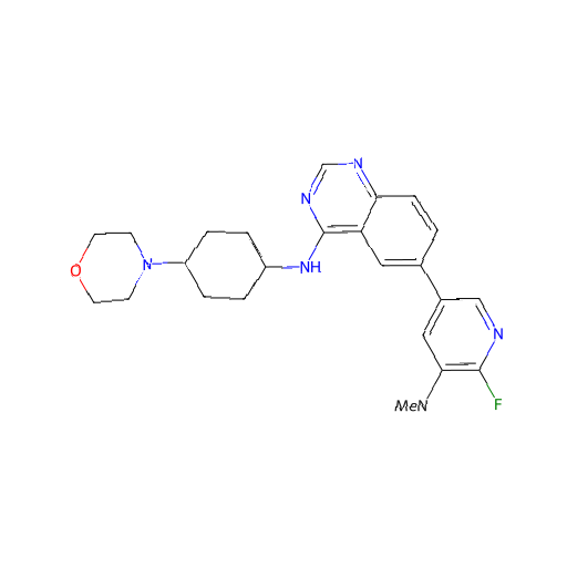 CNc1cc(-c2ccc3ncnc(NC4CCC(N5CCOCC5)CC4)c3c2)cnc1F